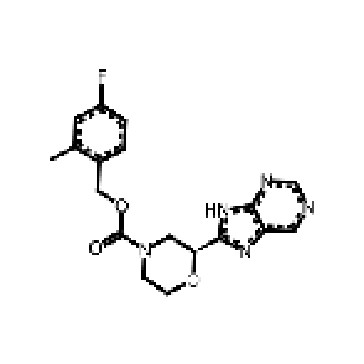 Cc1cc(F)ccc1COC(=O)N1CCO[C@H](c2nc3cncnc3[nH]2)C1